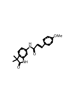 COc1ccc(/C=C/C(=O)Nc2ccc3c(c2)NC(=O)C3(C)C)cc1